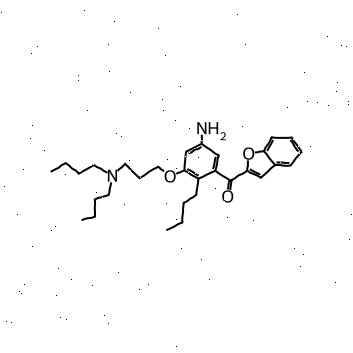 CCCCc1c(OCCCN(CCCC)CCCC)cc(N)cc1C(=O)c1cc2ccccc2o1